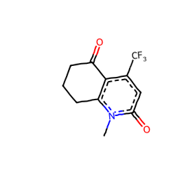 Cn1c2c(c(C(F)(F)F)cc1=O)C(=O)CCC2